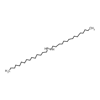 CCCCCCCCCCCCCCCPPCCCCCCCCCCCCCCC